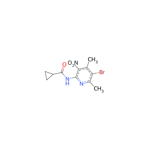 Cc1nc(NC(=O)C2CC2)c([N+](=O)[O-])c(C)c1Br